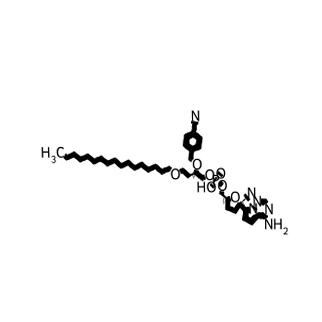 CCCCCCCCCCCCCCCCCOCC[C@H](COP(=O)(O)OC[C@@H]1CC[C@](C#N)(c2ccc3c(N)ncnn23)O1)OCc1ccc(C#N)cc1